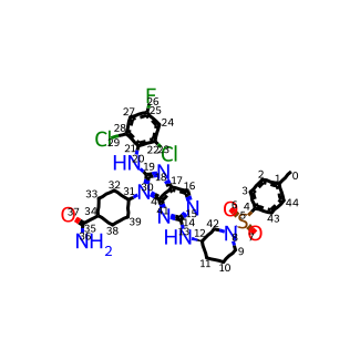 Cc1ccc(S(=O)(=O)N2CCC[C@@H](Nc3ncc4nc(Nc5c(Cl)cc(F)cc5Cl)n(C5CCC(C(N)=O)CC5)c4n3)C2)cc1